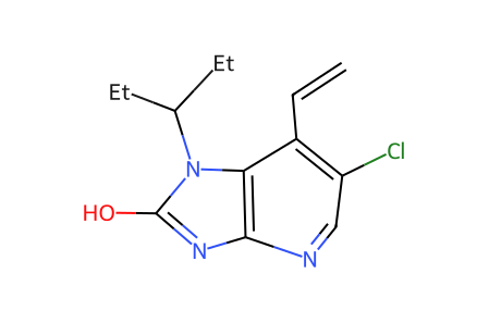 C=Cc1c(Cl)cnc2nc(O)n(C(CC)CC)c12